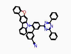 N#Cc1cccc(-c2cc(-c3nc(-c4ccccc4)nc(-c4ccccc4)n3)ccc2-n2c3ccccc3c3cc4c(cc32)oc2ccccc24)c1